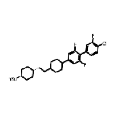 CCCC[C@H]1CC[C@H](CCC2CCC(c3cc(F)c(-c4ccc(Cl)c(F)c4)c(F)c3)CC2)CC1